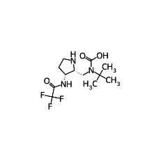 CC(C)(C)N(C[C@H]1NCC[C@H]1NC(=O)C(F)(F)F)C(=O)O